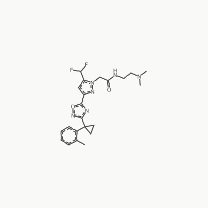 Cc1ccccc1C1(c2noc(-c3cc(C(F)F)n(CC(=O)NCCN(C)C)n3)n2)CC1